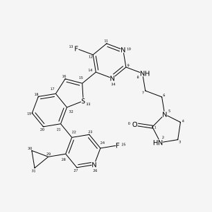 O=C1NCCN1CCNc1ncc(F)c(-c2cc3cccc(-c4cc(F)ncc4C4CC4)c3s2)n1